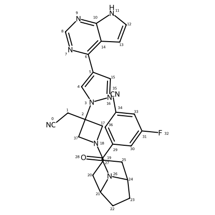 N#CCC1(n2cc(-c3ncnc4[nH]ccc34)cn2)CN(C2CC3CCC(C2)N3C(=O)c2cc(F)cc(C#N)c2)C1